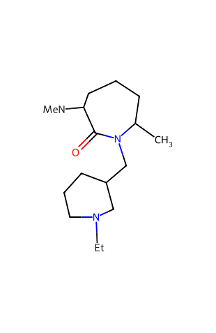 CCN1CCCC(CN2C(=O)C(NC)CCCC2C)C1